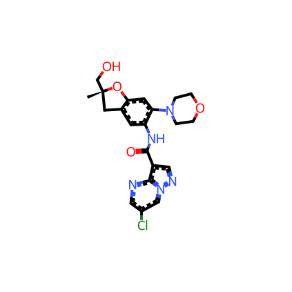 C[C@]1(CO)Cc2cc(NC(=O)c3cnn4cc(Cl)cnc34)c(N3CCOCC3)cc2O1